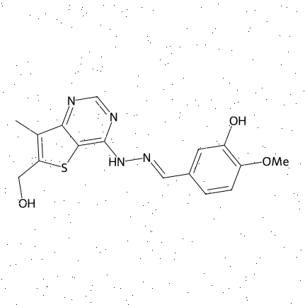 COc1ccc(C=NNc2ncnc3c(C)c(CO)sc23)cc1O